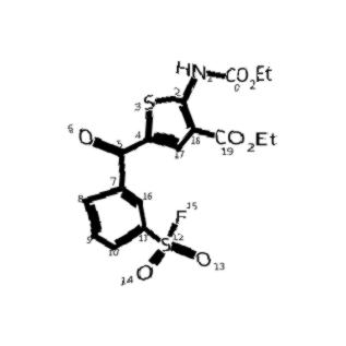 CCOC(=O)Nc1sc(C(=O)c2cccc(S(=O)(=O)F)c2)cc1C(=O)OCC